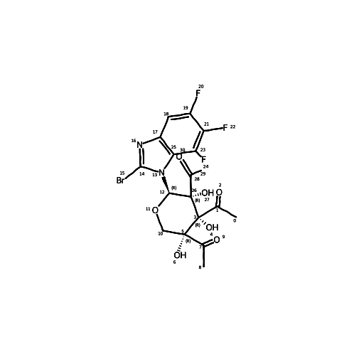 CC(=O)[C@@]1(O)[C@@](O)(C(C)=O)CO[C@@H](n2c(Br)nc3cc(F)c(F)c(F)c32)[C@@]1(O)C(C)=O